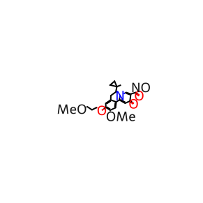 COCCCOc1cc2c(cc1OC)-c1cc(=O)c(C(=O)N=O)cn1C(C1(C)CC1)C2